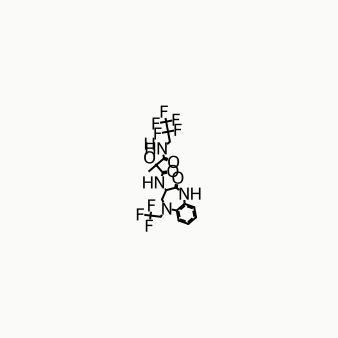 CC(O)(C(=O)NCC(F)(F)C(F)(F)F)C(=O)N[C@H]1CN(CC(F)(F)F)c2ccccc2NC1=O